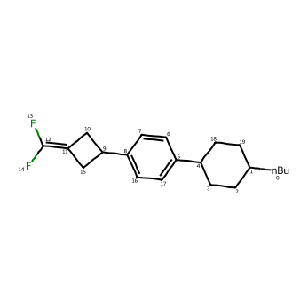 CCCCC1CCC(c2ccc(C3CC(=C(F)F)C3)cc2)CC1